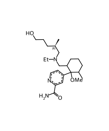 CCN(CC1CCCC(C)C1(OC)c1ccnc(C(N)=O)c1)C[C@H](C)CCCO